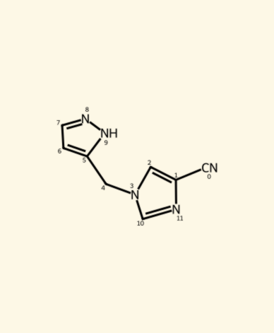 N#Cc1cn(Cc2ccn[nH]2)cn1